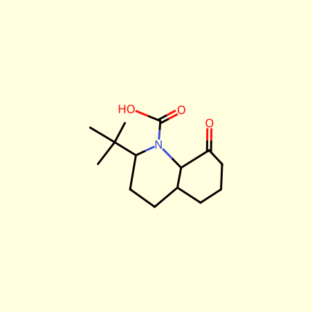 CC(C)(C)C1CCC2CCCC(=O)C2N1C(=O)O